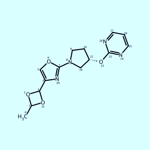 CC1OC(c2coc(N3CC[C@H](Oc4ncccn4)C3)n2)O1